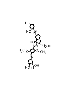 CCOc1cc(N=Nc2c(SOOO)cc3ccc(N=Nc4ccc(O)cc4O)cc3c2O)c(OCC)cc1N=Nc1ccc(O)c(C(=O)O)c1